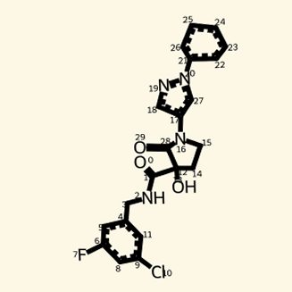 O=C(NCc1cc(F)cc(Cl)c1)C1(O)CCN(c2cnn(-c3ccccc3)c2)C1=O